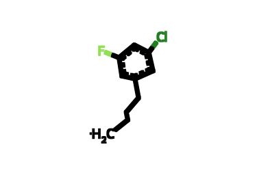 [CH2]CCCc1cc(F)cc(Cl)c1